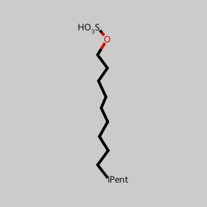 CCCC(C)CCCCCCCCCOS(=O)(=O)O